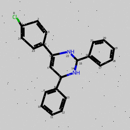 Clc1ccc(C2=CC(c3ccccc3)NC(c3ccccc3)N2)cc1